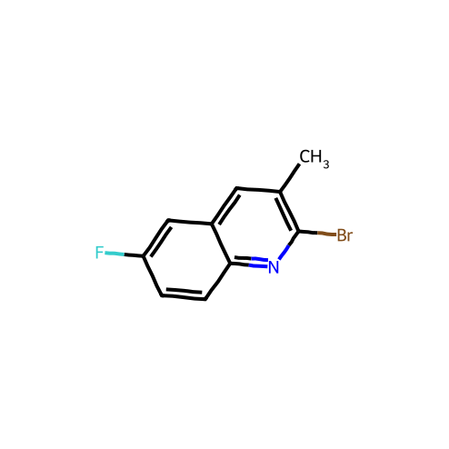 Cc1cc2cc(F)ccc2nc1Br